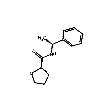 C[C@H](NC(=O)[C@H]1CCCO1)c1ccccc1